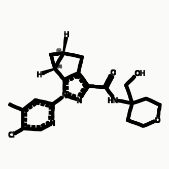 Cc1cc(-n2nc(C(=O)NC3(CO)CCOCC3)c3c2[C@@H]2C[C@@H]2C3)ncc1Cl